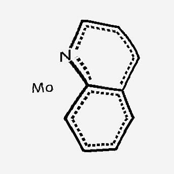 [Mo].c1ccc2ncccc2c1